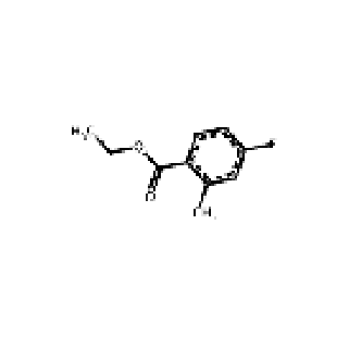 CCOC(=O)c1ccc(F)cc1C